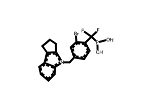 OP(O)C(F)(F)c1ccc(Cn2c3c(c4ccccc42)CCC3)cc1Br